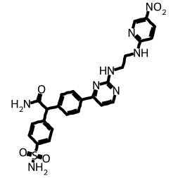 NC(=O)C(c1ccc(-c2ccnc(NCCNc3ccc([N+](=O)[O-])cn3)n2)cc1)c1ccc(S(N)(=O)=O)cc1